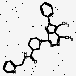 Cc1nnc(N2CCCC(C(=O)NCc3ccccn3)C2)c2nn(-c3ccccc3)c(C)c12